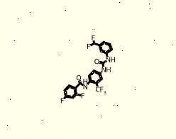 O=C(Nc1cccc(C(F)F)c1)Nc1ccc(NC(=O)c2ccc(F)cc2F)c(C(F)(F)F)c1